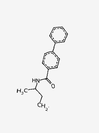 [CH2]CC(C)NC(=O)c1ccc(-c2ccccc2)cc1